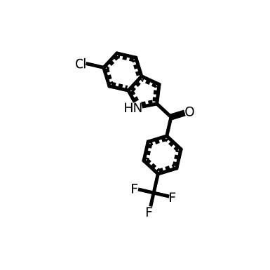 O=C(c1ccc(C(F)(F)F)cc1)c1cc2ccc(Cl)cc2[nH]1